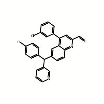 O=Cc1cc(-c2cccc(Cl)c2)c2cc(C(c3ccc(Cl)cc3)c3cccnc3)ccc2n1